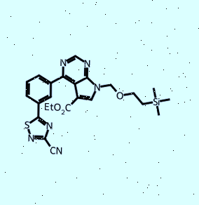 CCOC(=O)c1cn(COCC[Si](C)(C)C)c2ncnc(-c3cccc(-c4nc(C#N)ns4)c3)c12